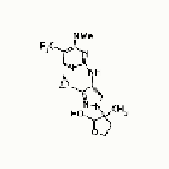 CNc1nc(Nc2cn(C3(C)CCOC3O)nc2C2CC2)ncc1C(F)(F)F